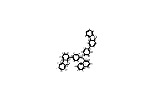 C1=CC2Oc3ccccc3C2C=C1c1ccc(N(c2ccc(-c3cccc4c3oc3ccccc34)cc2)c2cccc3ccccc23)cc1